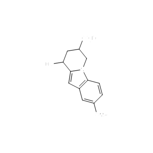 CCOC(=O)C1CC(O)c2cc3cc(OC)ccc3n2C1